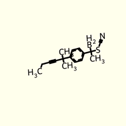 BC(C)(SC#N)c1ccc(C(C)(C)C#CCC)cc1